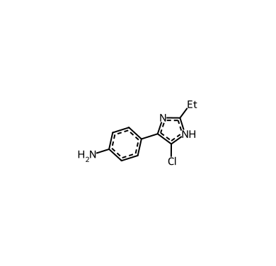 CCc1nc(-c2ccc(N)cc2)c(Cl)[nH]1